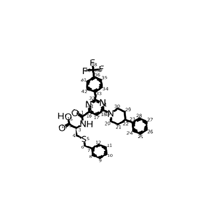 O=C(N[C@@H](CSCc1ccccc1)C(=O)O)c1cc(N2CCC(c3ccccc3)CC2)nc(-c2ccc(C(F)(F)F)cc2)n1